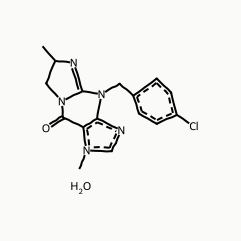 CC1CN2C(=O)c3c(ncn3C)N(Cc3ccc(Cl)cc3)C2=N1.O